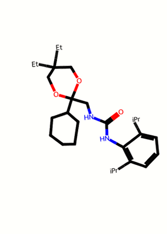 CCC1(CC)COC(CNC(=O)Nc2c(C(C)C)cccc2C(C)C)(C2CCCCC2)OC1